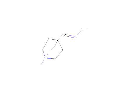 CC[N+]12CCC(/C=N/NC(C)=O)(CC1)CC2